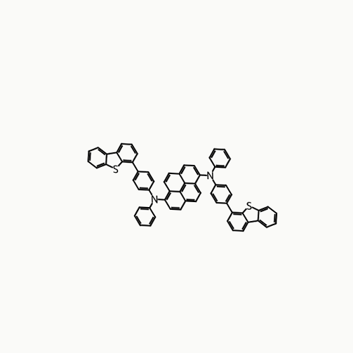 c1ccc(N(c2ccc(-c3cccc4c3sc3ccccc34)cc2)c2ccc3ccc4c(N(c5ccccc5)c5ccc(-c6cccc7c6sc6ccccc67)cc5)ccc5ccc2c3c54)cc1